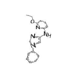 CCOc1cccc(Nc2cn(-c3ccccc3)cn2)n1